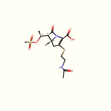 CC(=O)NCCSC1=C(C(=O)O)N2C(=O)[C@H]([C@H](C)OS(C)(=O)=O)[C@H]2C1